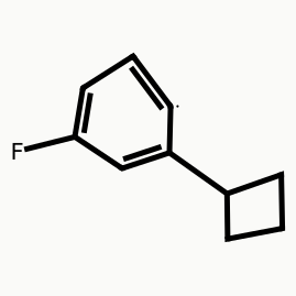 Fc1cc[c]c(C2CCC2)c1